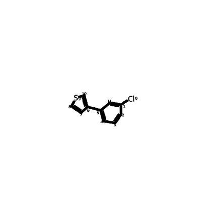 Clc1cccc(-c2c[c]sc2)c1